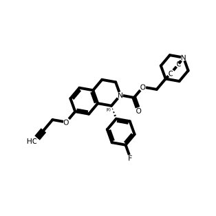 C#CCOc1ccc2c(c1)[C@@H](c1ccc(F)cc1)N(C(=O)OCC13CCN(CC1)CC3)CC2